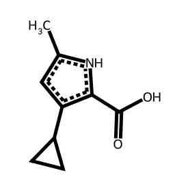 Cc1cc(C2CC2)c(C(=O)O)[nH]1